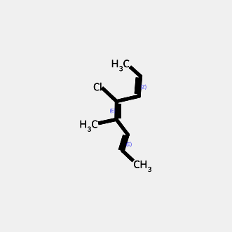 C\C=C/C(Cl)=C(C)\C=C\C